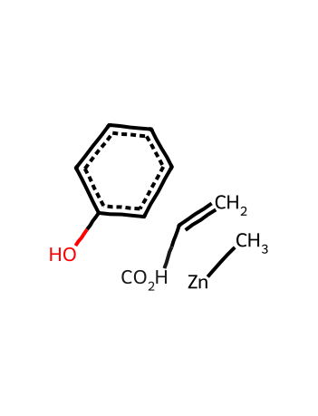 C=CC(=O)O.Oc1ccccc1.[CH3][Zn]